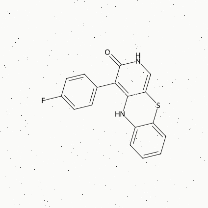 O=c1[nH]cc2c(c1-c1ccc(F)cc1)Nc1ccccc1S2